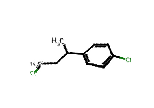 CC(C[SiH2]Cl)c1ccc(Cl)cc1